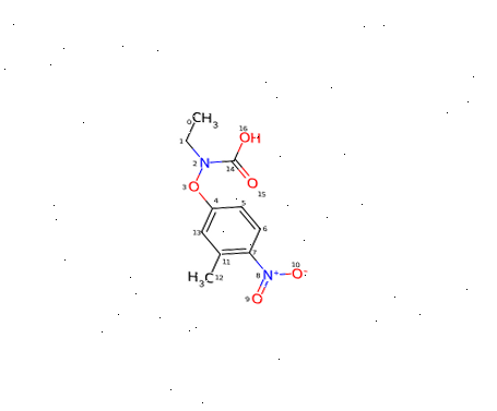 CCN(Oc1ccc([N+](=O)[O-])c(C)c1)C(=O)O